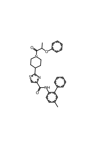 Cc1ccc(NC(=O)c2csc(C3CCN(C(=O)C(C)Oc4ccccc4)CC3)n2)c(-c2ccccc2)c1